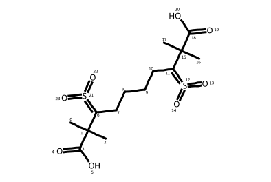 CC(C)(C(=O)O)C(CCCCC(=S(=O)=O)C(C)(C)C(=O)O)=S(=O)=O